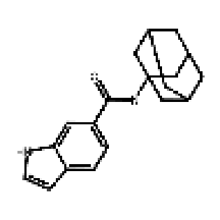 O=C(NC12CC3CC(CC(C3)C1)C2)c1ccc2cc[nH]c2c1